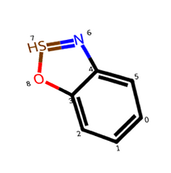 c1ccc2c(c1)N=[SH]O2